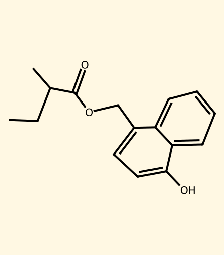 CCC(C)C(=O)OCc1ccc(O)c2ccccc12